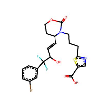 O=C(O)c1cnc(CCCN2C(=O)OCC[C@@H]2C=CC(O)C(F)(F)c2cccc(Br)c2)s1